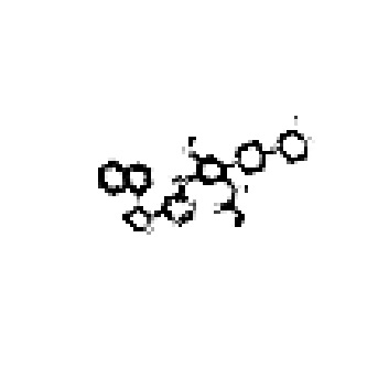 C=CC(=O)Nc1cc(Nc2cc(N3OCC[C@@H]3c3cccc4ccccc34)ncn2)c(OC)cc1N1CCC(N2CCO[C@@H](C)C2)CC1